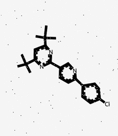 CC(C)(C)c1cc(C(C)(C)C)nc(-c2ccc(-c3ccc(Cl)cc3)nc2)n1